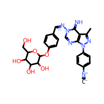 [C-]#[N+]c1ccc(-n2nc(C)c3c(=N)n(/N=C\c4ccc(OC5OC(CO)C(O)C(O)C5O)cc4)cnc32)cc1